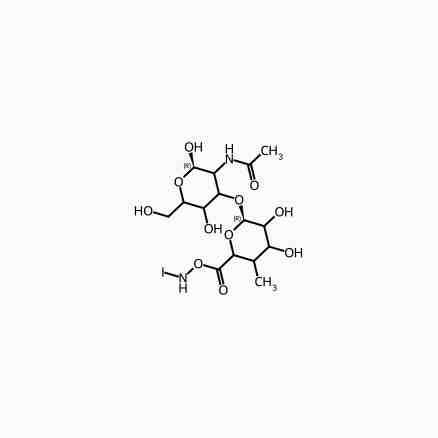 CC(=O)NC1C(O[C@@H]2OC(C(=O)ONI)C(C)C(O)C2O)C(O)C(CO)O[C@H]1O